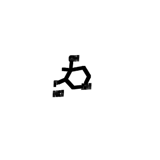 CC1(O)CCNCC1F.Cl